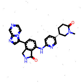 CN1C[C@H](c2ccc(Nc3ccc(-c4cnc5cnccn45)c4c3C(=O)NC4)nc2)CCC1=O